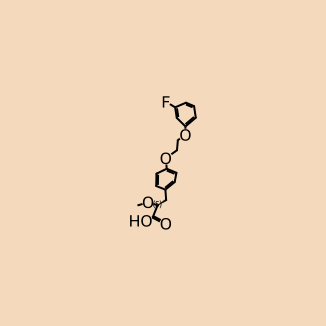 CO[C@@H](Cc1ccc(OCCOc2cccc(F)c2)cc1)C(=O)O